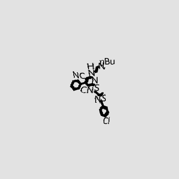 CCCCN(C)CCNc1nc(SCc2csc(-c3ccc(Cl)cc3)n2)c(C#N)c(C2CCCCC2)c1C#N